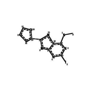 CSc1nc(I)nc2nc(-c3ccco3)nn12